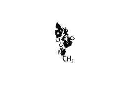 Cc1cn(-c2ccc3n(c2=O)CCN(Cc2nc(C4(c5ccc(Cl)cc5)CCC4)no2)C3=O)cn1